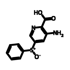 Nc1cc([S+]([O-])c2ccccc2)cnc1C(=O)O